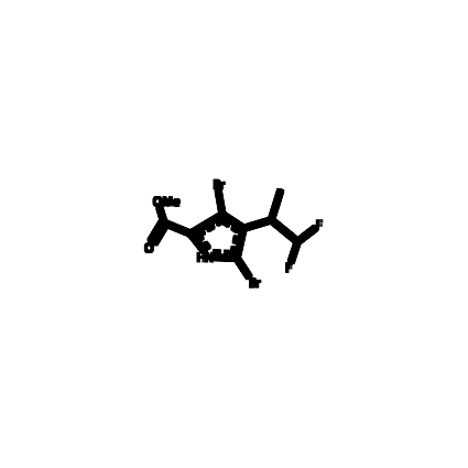 COC(=O)c1[nH]c(Br)c(C(C)C(F)F)c1Br